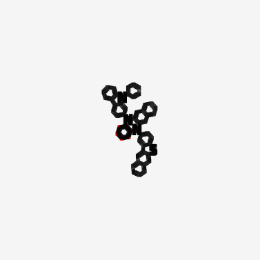 c1ccc(N(c2ccc3sc4cc5ccccc5cc4c3c2)c2cc3ccccc3cc2N(c2ccccc2)c2ccc3c4ccccc4n(-c4ccccc4)c3c2)cc1